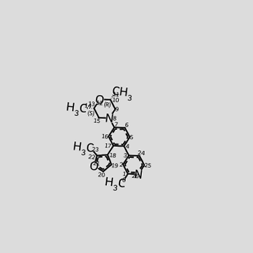 Cc1cc(-c2ccc(N3C[C@@H](C)O[C@@H](C)C3)cc2-c2ccoc2C)ccn1